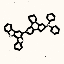 c1ccc(N(c2ccccc2)c2ccc3c4ccc(-c5cc6c7ccccc7oc6c6c5sc5ccccc56)cc4c4ccccc4c3c2)cc1